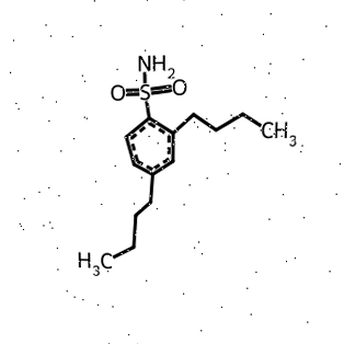 CCCCc1ccc(S(N)(=O)=O)c(CCCC)c1